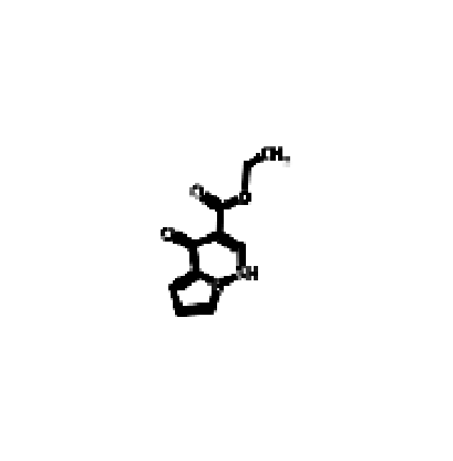 CCOC(=O)c1c[nH]n2cccc2c1=O